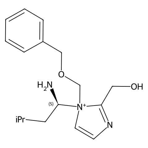 CC(C)C[C@@H](N)[N+]1(COCc2ccccc2)C=CN=C1CO